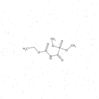 CCOC(=O)NC(=O)P(=O)(OC)OC